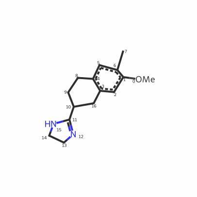 COc1cc2c(cc1C)CCC(C1=NCCN1)C2